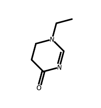 CCN1C=NC(=O)CC1